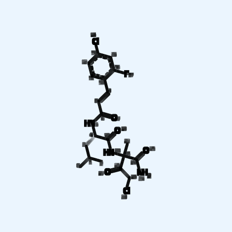 CC(C)C[C@H](NC(=O)/C=C/c1ccc(Cl)cc1F)C(=O)NC(C)(C(N)=O)C(=O)CCl